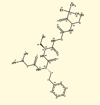 CCCN(CCC)CC(=O)N[C@@H](CCc1ccccc1)C(=O)N[C@@H](CC(C)C)C(=O)NCC(=O)NC(CC(C)C)C(=O)C(C)(C)CC